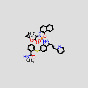 CNC(=O)c1ccccc1Sc1ccc2c(/C=C/c3ccccn3)nn(P(=O)(N[C@@H](C)C(=O)OC3CC3)Oc3cccc4ccccc34)c2c1